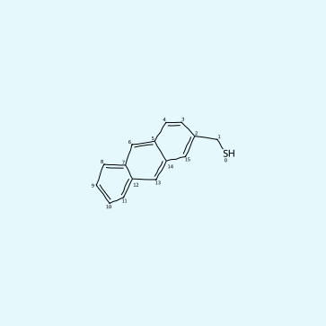 SCc1ccc2cc3ccccc3cc2c1